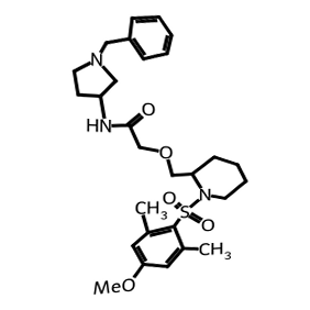 COc1cc(C)c(S(=O)(=O)N2CCCCC2COCC(=O)NC2CCN(Cc3ccccc3)C2)c(C)c1